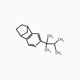 CC(C)C(C)(C)c1cc2c(cn1)C1CCC2C1